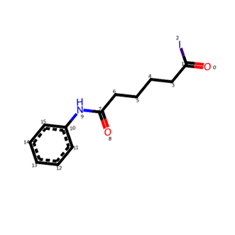 O=C(I)CCCCC(=O)Nc1ccccc1